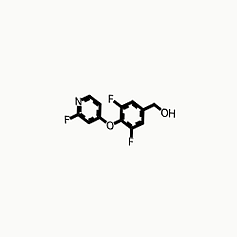 OCc1cc(F)c(Oc2ccnc(F)c2)c(F)c1